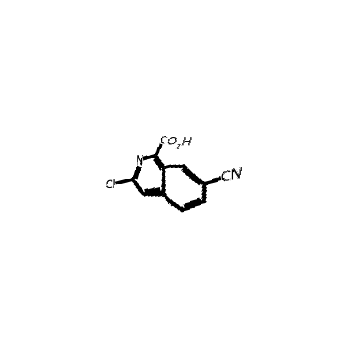 N#Cc1ccc2cc(Cl)nc(C(=O)O)c2c1